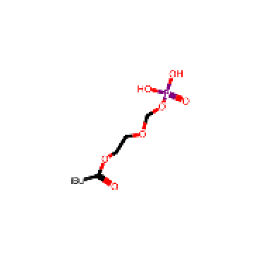 CCC(C)C(=O)OCCOCOP(=O)(O)O